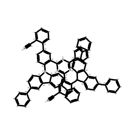 N#Cc1ccc(C2c3ccc(-c4ccccc4)cc3-c3cc(-c4ccccc4)ccc32)c(-c2nc(-c3ccccc3)nc(-c3cc(-c4ccccc4C#N)ccc3-n3c4ccc(-c5ccccc5)cc4c4cc(-c5ccccc5)ccc43)n2)c1